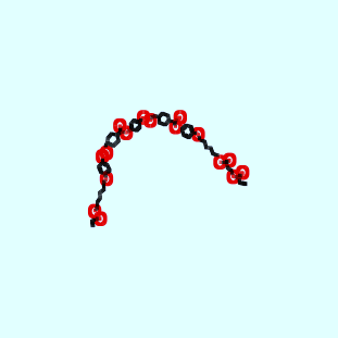 C=CC(=O)OCCCCCCOc1ccc(OOCC2CCC(C(=O)Oc3ccc(OOCC4CCC(C(=O)Oc5ccc(OCCCCCCOC(=O)CCOC(=O)C=C)cc5)CC4)cc3)CC2)cc1